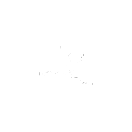 C=CCOCC(OCC=C)(OCC=C)OCC=C.[AtH]